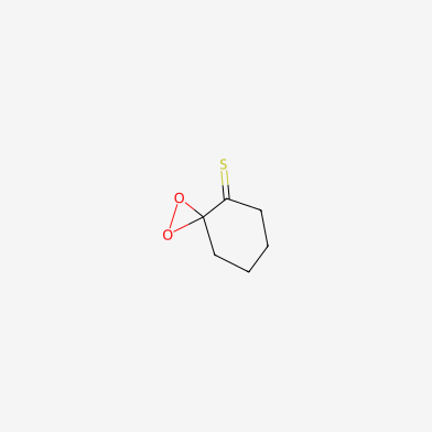 S=C1CCCCC12OO2